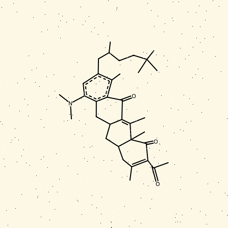 CC(=O)C1=C(C)CC2CC3Cc4c(N(C)C)cc(CC(C)CCC(C)(C)C)c(C)c4C(=O)C3=C(C)C2(C)C1=O